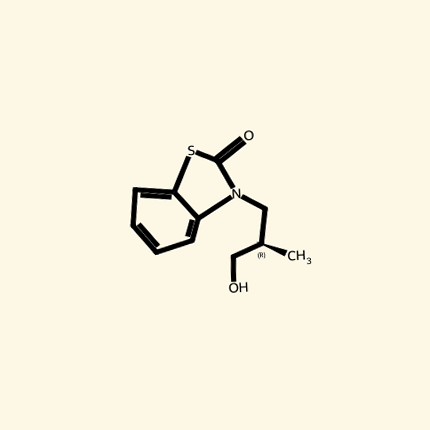 C[C@@H](CO)Cn1c(=O)sc2ccccc21